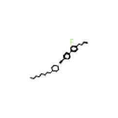 CCCCCCCC[C@H]1CC[C@H](C#Cc2ccc(-c3ccc(CCCC)c(F)c3)cc2)CC1